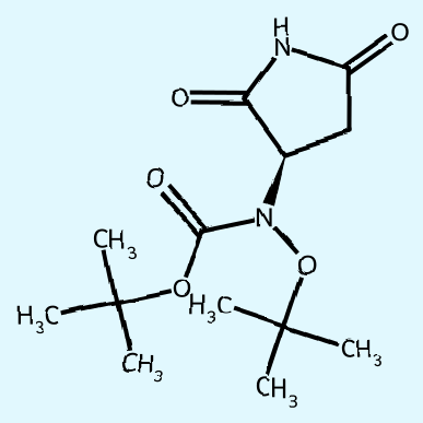 CC(C)(C)OC(=O)N(OC(C)(C)C)[C@@H]1CC(=O)NC1=O